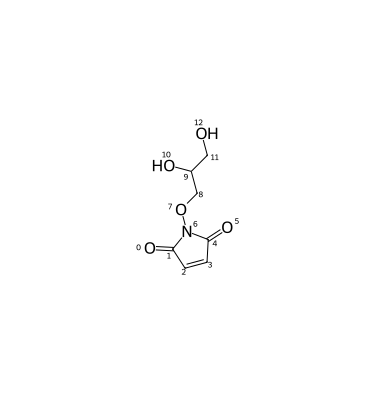 O=C1C=CC(=O)N1OCC(O)CO